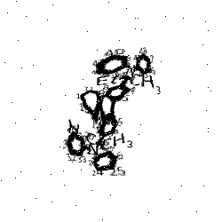 CCC(C)(c1ccc2c(c1)C1(CCCCC1)c1cc(C(C)(C)N(c3ccccc3)c3ccccc3)ccc1-2)N(c1ccccc1)c1ccccc1